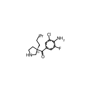 CC(C)CC[C@]1(C(=O)c2cc(F)c(N)c(Cl)c2)CCNC1